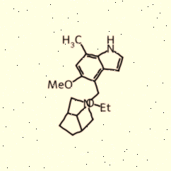 CCOC1C2CCC1CN(Cc1c(OC)cc(C)c3[nH]ccc13)C2